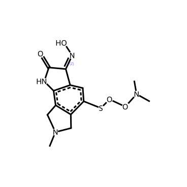 CN1Cc2c(SOON(C)C)cc3c(c2C1)NC(=O)/C3=N\O